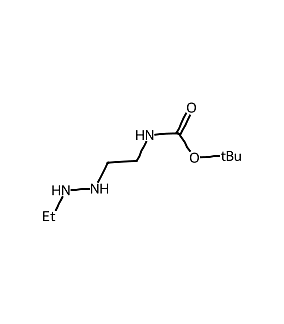 CCNNCCNC(=O)OC(C)(C)C